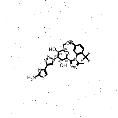 Cc1nnc([C@@H]2O[C@H](CO)[C@H](O)[C@H](n3cc(-c4csc(N)n4)nn3)[C@H]2O)n1-c1cc(Cl)ccc1C(F)(F)F